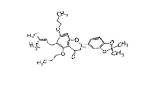 CCCOc1cc2c(c(OCCC)c1CC=C(C)C)C(=O)C[C@@H](c1ccc3c(c1)OC(C)(C)O3)O2